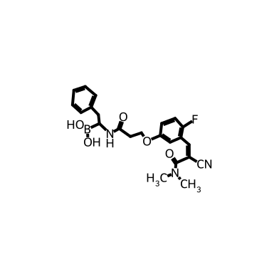 CN(C)C(=O)C(C#N)=Cc1cc(OCCC(=O)NC(Cc2ccccc2)B(O)O)ccc1F